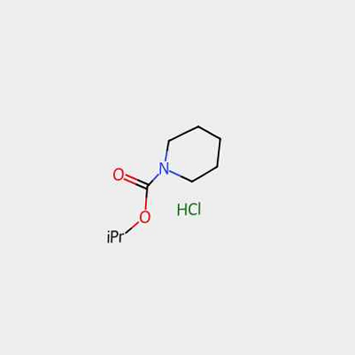 CC(C)OC(=O)N1CCCCC1.Cl